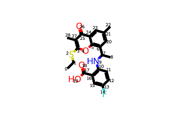 CCSc1oc2c(C(C)Nc3ccc(F)cc3C(=O)O)cc(C)cc2c(=O)c1C